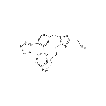 CCCCCc1nc(CN)nn1Cc1ccc(-n2cnnn2)c(-c2ccccc2)c1